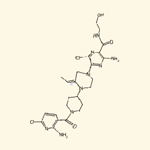 C/C=C1\CN(c2nc(N)c(C(=O)NCCO)nc2Cl)CCN1C1CCN(C(=O)c2ccc(Cl)nc2N)CC1